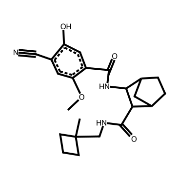 COc1cc(C#N)c(O)cc1C(=O)NC1C2CCC(C2)C1C(=O)NCC1(C)CCC1